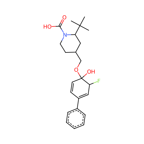 CC(C)(C)C1CC(COC2(O)C=CC(c3ccccc3)=CC2F)CCN1C(=O)O